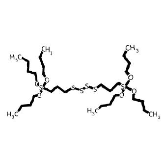 CCCCO[Si](CCCSSSSCCC[Si](OCCCC)(OCCCC)OCCCC)(OCCCC)OCCCC